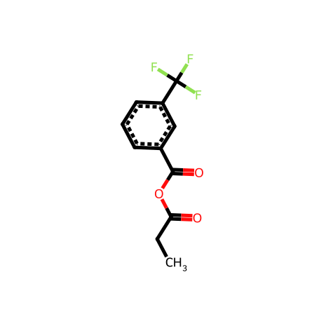 CCC(=O)OC(=O)c1cccc(C(F)(F)F)c1